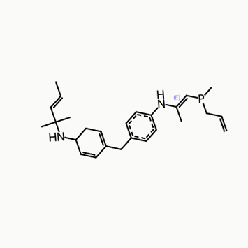 C=CCP(C)/C=C(\C)Nc1ccc(CC2=CCC(NC(C)(C)C=CC)C=C2)cc1